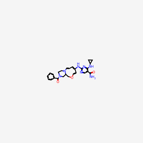 NC(=O)c1cnc(NC2=C/C=C/N3CCN(C(=O)c4ccccc4)CC3CO\C=C\2)nc1NC1CC1